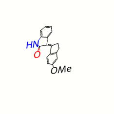 COc1ccc2c(c1)CCC2=C1C(=O)Nc2ccccc21